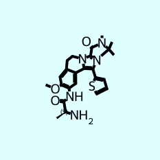 COc1cc2c(cc1NC(=O)[C@H](C)N)-c1c(-c3cccs3)nc(C(=O)N(C)C(C)(C)C)n1CC2